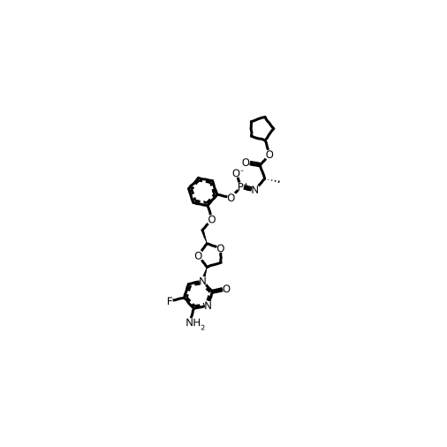 C[C@H](N=[P+]([O-])Oc1ccccc1OC[C@H]1OC[C@@H](n2cc(F)c(N)nc2=O)O1)C(=O)OC1CCCC1